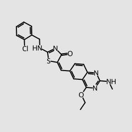 CCOc1nc(NC)nc2ccc(/C=C3/SC(NCc4ccccc4Cl)=NC3=O)cc12